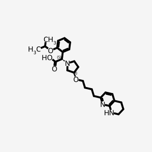 CC(C)Oc1ccccc1[C@@H](C(=O)O)N1CC[C@@H](OCCCCc2ccc3c(n2)NCCC3)C1